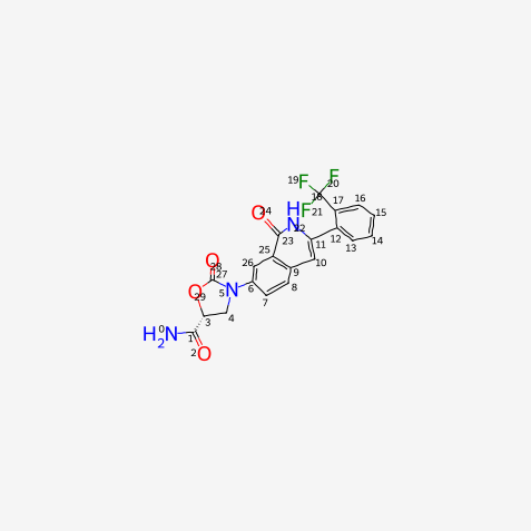 NC(=O)[C@H]1CN(c2ccc3cc(-c4ccccc4C(F)(F)F)[nH]c(=O)c3c2)C(=O)O1